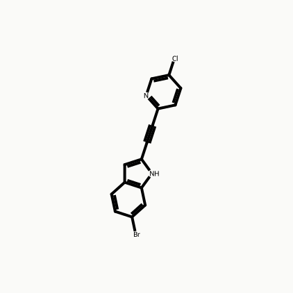 Clc1ccc(C#Cc2cc3ccc(Br)cc3[nH]2)nc1